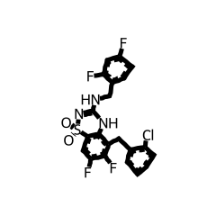 O=S1(=O)N=C(NCc2ccc(F)cc2F)Nc2c1cc(F)c(F)c2Cc1ccccc1Cl